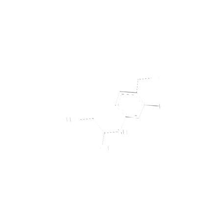 CCC(C)Nc1ccc(CO)c(F)c1